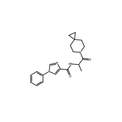 CC(NC(=O)c1cn(-c2ccccc2)cn1)C(=O)N1CCC2(CC1)CC2